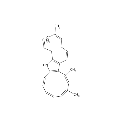 C=CCc1[nH]c2cccccc(C)cc(C)c2c1/C=C\CC=C(C)C